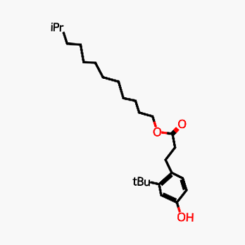 CC(C)CCCCCCCCCCOC(=O)CCc1ccc(O)cc1C(C)(C)C